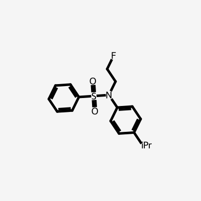 CC(C)c1ccc(N(CCF)S(=O)(=O)c2ccccc2)cc1